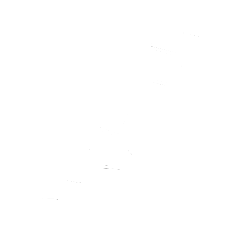 CCCCCc1ccc(C#Cc2ccc(OCC)cc2)nc1